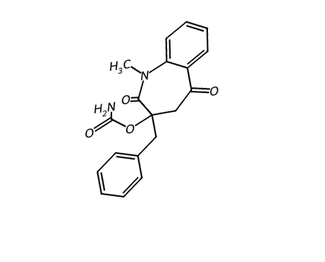 CN1C(=O)C(Cc2ccccc2)(OC(N)=O)CC(=O)c2ccccc21